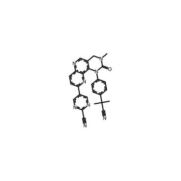 CN1Cc2cnc3ccc(-c4cnc(C#N)nc4)nc3c2N(c2ccc(C(C)(C)C#N)cc2)C1=O